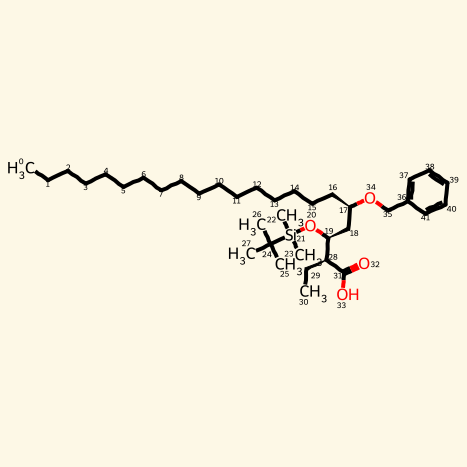 CCCCCCCCCCCCCCCCC[C@H](C[C@H](O[Si](C)(C)C(C)(C)C)[C@H](CC)C(=O)O)OCc1ccccc1